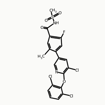 Cc1cc(C(=O)NS(C)(=O)=O)c(F)cc1-c1cnc(Oc2c(Cl)cccc2Cl)c(Cl)c1